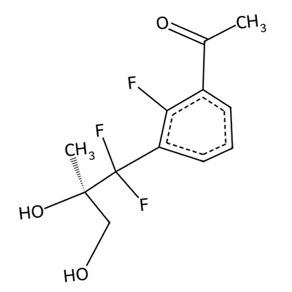 CC(=O)c1cccc(C(F)(F)[C@](C)(O)CO)c1F